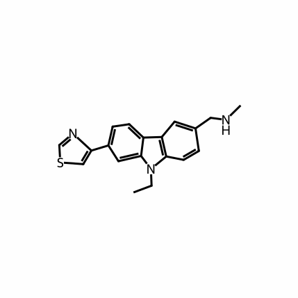 CCn1c2ccc(CNC)cc2c2ccc(-c3cscn3)cc21